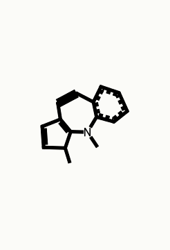 CC1C=CC2=C1N(C)c1ccccc1C#C2